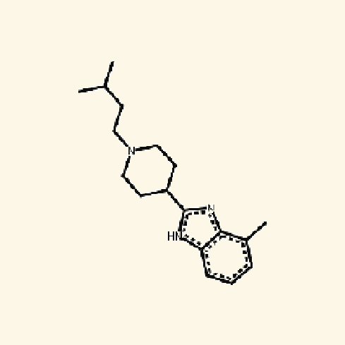 Cc1cccc2[nH]c(C3CCN(CCC(C)C)CC3)nc12